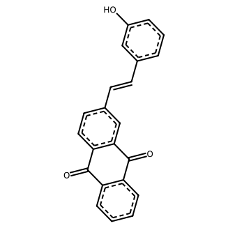 O=C1c2ccccc2C(=O)c2cc(C=Cc3cccc(O)c3)ccc21